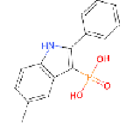 Cc1ccc2[nH]c(-c3ccccc3)c(P(=O)(O)O)c2c1